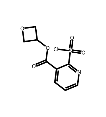 O=C(OC1COC1)c1cccnc1S(=O)(=O)Cl